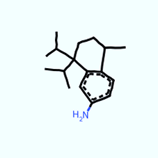 CC1CCC(C(C)C)(C(C)C)c2cc(N)ccc21